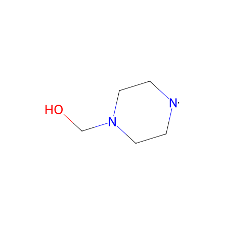 OCN1CC[N]CC1